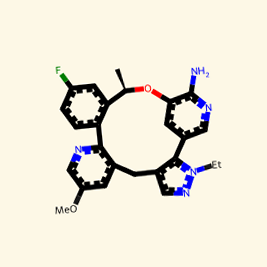 CCn1ncc2c1-c1cnc(N)c(c1)O[C@H](C)c1cc(F)ccc1-c1ncc(OC)cc1C2